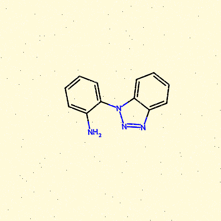 Nc1ccccc1-n1nnc2ccccc21